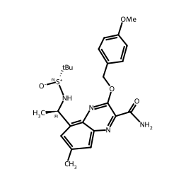 COc1ccc(COc2nc3c([C@@H](C)N[S@+]([O-])C(C)(C)C)cc(C)cc3nc2C(N)=O)cc1